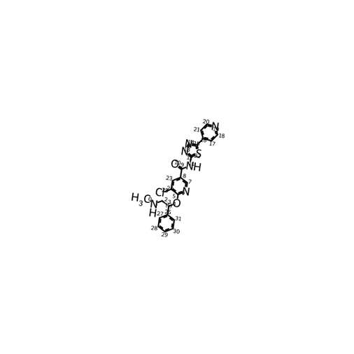 CNC[C@@H](Oc1ncc(C(=O)Nc2nnc(-c3ccncc3)s2)cc1Cl)c1ccccc1